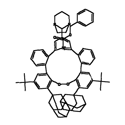 CC(C)(C)c1cc2c(c(C34CC5CC(CC(C5)C3)C4)c1)OOc1c(cc(C(C)(C)C)cc1C13CC4CC(CC(C4)C1)C3)-c1ccccc1-c1cc(C3N4CCCN3CC4)cc([n+]1C(=O)OCc1ccccc1)-c1ccccc1-2